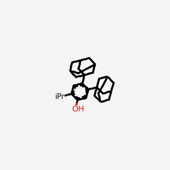 CC(C)c1cc(C23CC4CC(CC(C4)C2)C3)c(C23CC4CC(CC(C4)C2)C3)cc1O